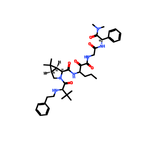 CCCC(NC(=O)[C@@H]1[C@H]2[C@@H](CN1C(=O)C(NCCc1ccccc1)C(C)(C)C)C2(C)C)C(=O)C(=O)NCC(=O)N[C@H](C(=O)N(C)C)c1ccccc1